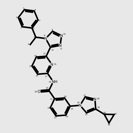 CC(c1ccccc1)n1cnnc1-c1cccc(NC(=O)c2cccc(-n3cnc(C4CC4)c3)c2)n1